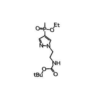 CCOP(C)(=O)c1cnn(CCNC(=O)OC(C)(C)C)c1